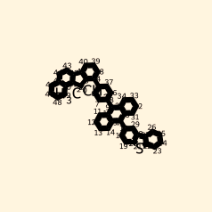 CC1(C)c2c(-c3ccc(-c4c5ccccc5c(-c5ccc6sc7ccccc7c6c5)c5ccccc45)cc3)cccc2-c2ccc3ccccc3c21